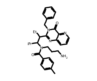 CCC(c1nc2cccnc2c(=O)n1Cc1ccccc1)C(C(C)C)N(CCCN)C(=O)c1ccc(C)cc1